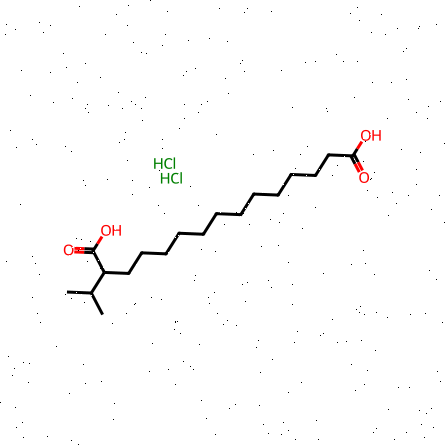 CC(C)C(CCCCCCCCCCCCC(=O)O)C(=O)O.Cl.Cl